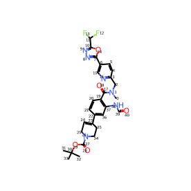 CN(Cc1ccc(-c2nnc(C(F)F)o2)cn1)C(=O)c1ccc(C2=CCN(C(=O)OC(C)(C)C)CC2)cc1NC=O